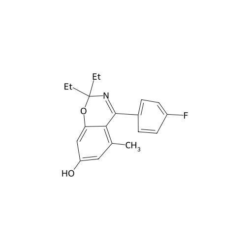 CCC1(CC)N=C(c2ccc(F)cc2)c2c(C)cc(O)cc2O1